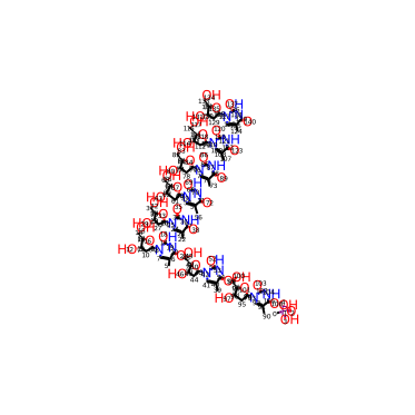 CP(=O)(O)O.Cc1cn([C@H]2C[C@H](O)[C@@H](CO)O2)c(=O)[nH]c1=O.Cc1cn([C@H]2C[C@H](O)[C@@H](CO)O2)c(=O)[nH]c1=O.Cc1cn([C@H]2C[C@H](O)[C@@H](CO)O2)c(=O)[nH]c1=O.Cc1cn([C@H]2C[C@H](O)[C@@H](CO)O2)c(=O)[nH]c1=O.Cc1cn([C@H]2C[C@H](O)[C@@H](CO)O2)c(=O)[nH]c1=O.Cc1cn([C@H]2C[C@H](O)[C@@H](CO)O2)c(=O)[nH]c1=O.Cc1cn([C@H]2C[C@H](O)[C@@H](CO)O2)c(=O)[nH]c1=O.Cc1cn([C@H]2C[C@H](O)[C@@H](CO)O2)c(=O)[nH]c1=O